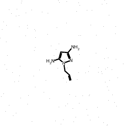 C=CCn1nc(N)cc1N